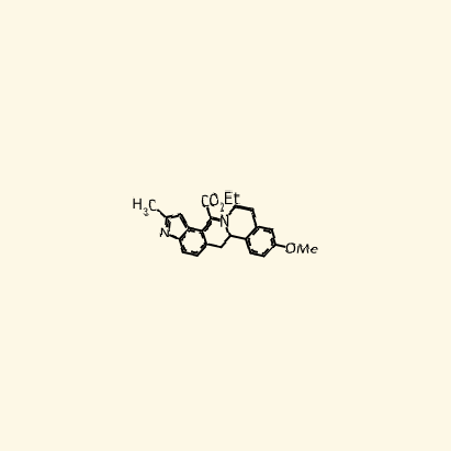 CCOC(=O)C1=c2c(ccc3c2=CC(C)=N3)CC2c3ccc(OC)cc3CCN12